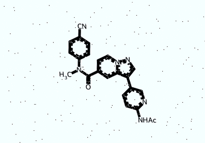 CC(=O)Nc1ccc(-c2cnn3ccc(C(=O)N(C)c4ccc(C#N)cc4)cc23)cn1